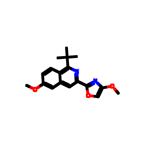 COc1ccc2c(C(C)(C)C)nc(-c3nc(OC)co3)cc2c1